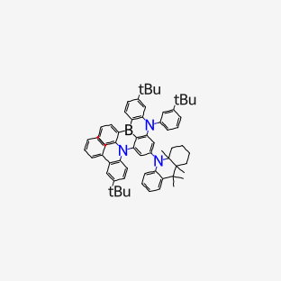 CC(C)(C)c1cccc(N2c3cc(C(C)(C)C)ccc3B3c4ccccc4N(c4ccc(C(C)(C)C)cc4-c4ccccc4)c4cc(N5c6ccccc6C(C)(C)C6(C)CCCCC56C)cc2c43)c1